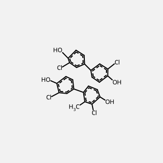 Cc1c(-c2ccc(O)c(Cl)c2)ccc(O)c1Cl.Oc1ccc(-c2ccc(O)c(Cl)c2)cc1Cl